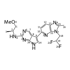 COC[C@H](C)Nc1ncc2c(-c3ccc4nc(C)n(CC(F)F)c4n3)c[nH]c2n1